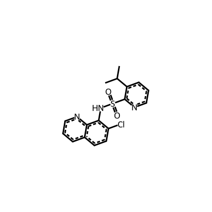 CC(C)c1cccnc1S(=O)(=O)Nc1c(Cl)ccc2cccnc12